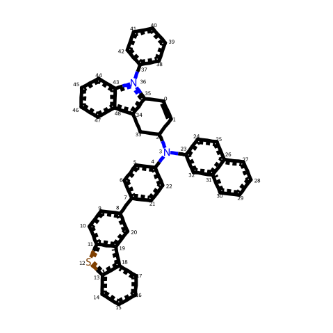 C1=CC(N(c2ccc(-c3ccc4sc5ccccc5c4c3)cc2)c2ccc3ccccc3c2)Cc2c1n(-c1ccccc1)c1ccccc21